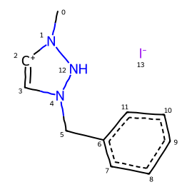 CN1[C+]=CN(Cc2ccccc2)N1.[I-]